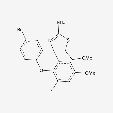 COCC1SC(N)=NC12c1cc(Br)ccc1Oc1c(F)cc(OC)cc12